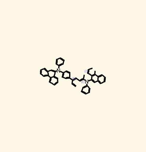 C=C/C(=C\C=C(/C)N(c1ccccc1)c1cc2ccccc2c(C)c1/C=C\C)c1ccc(N(c2ccccc2)c2cc3ccccc3c3ccccc23)cc1